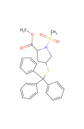 COC(=O)C1CC(SC(c2ccccc2)(c2ccccc2)c2ccccc2)CN1S(C)(=O)=O